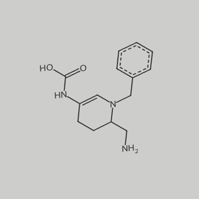 NCC1CCC(NC(=O)O)=CN1Cc1ccccc1